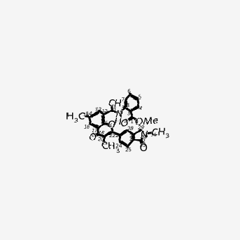 COC(=O)c1ccccc1NC(C)c1cc(C)cc2c(=O)c(C)c(-c3ccc4c(c3)CN(C)C4=O)oc12